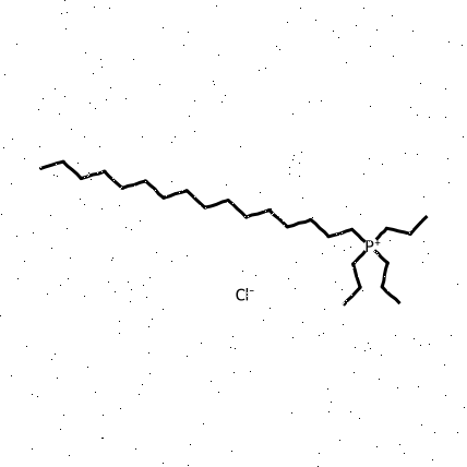 CCCCCCCCCCCCCCCC[P+](CCC)(CCC)CCC.[Cl-]